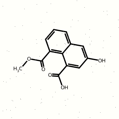 COC(=O)c1cccc2cc(O)cc(C(=O)O)c12